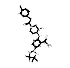 Cc1ccc(CC(=O)N2CC[C@H](Oc3ncc(B4OC(C)(C)C(C)(C)O4)cc3C(N)=O)[C@@H](F)C2)cc1